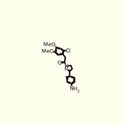 COc1cc(Cl)c(CC(=O)N2CCC(c3ccc(N)cc3)=N2)cc1OC